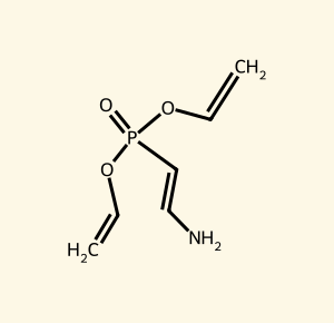 C=COP(=O)(C=CN)OC=C